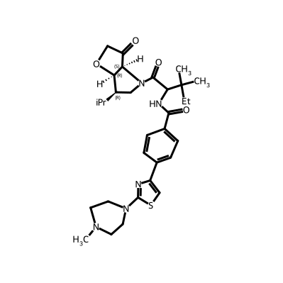 CCC(C)(C)C(NC(=O)c1ccc(-c2csc(N3CCN(C)CC3)n2)cc1)C(=O)N1C[C@@H](C(C)C)[C@H]2OCC(=O)[C@H]21